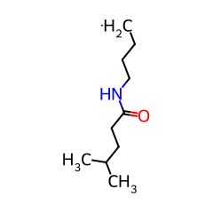 [CH2]CCCNC(=O)CCC(C)C